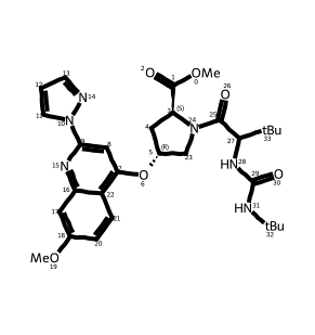 COC(=O)[C@@H]1C[C@@H](Oc2cc(-n3cccn3)nc3cc(OC)ccc23)CN1C(=O)C(NC(=O)NC(C)(C)C)C(C)(C)C